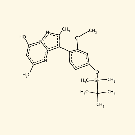 COc1cc(O[Si](C)(C)C(C)(C)C)ccc1-c1c(C)nn2c(O)cc(C)nc12